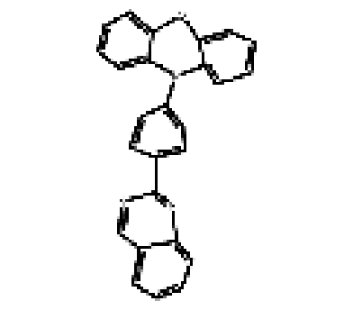 c1ccc2c(c1)Oc1ccccc1N2c1ccc(-c2ncc3ccccc3n2)cc1